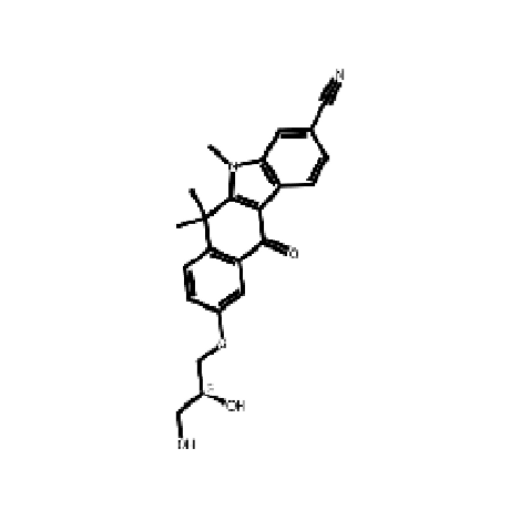 Cn1c2c(c3ccc(C#N)cc31)C(=O)c1cc(OC[C@@H](O)CO)ccc1C2(C)C